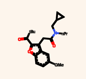 CCCN(CC1CC1)C(=O)Cc1c(C(=O)C(C)(C)C)oc2ccc(OC)cc12